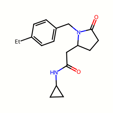 CCc1ccc(CN2C(=O)CCC2CC(=O)NC2CC2)cc1